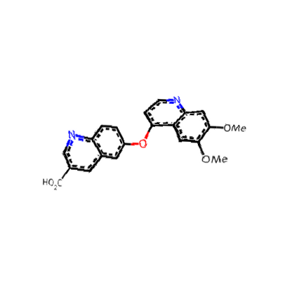 COc1cc2nccc(Oc3ccc4ncc(C(=O)O)cc4c3)c2cc1OC